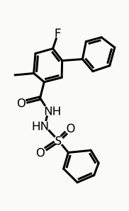 Cc1cc(F)c(-c2ccccc2)cc1C(=O)NNS(=O)(=O)c1ccccc1